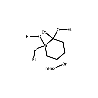 CCCCCCBr.CCOC1(CC)CCCC[Si]1(OCC)OCC